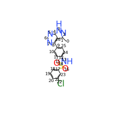 Cc1n[nH]c2ncnc(-c3ccc(NS(=O)(=O)c4cccc(Cl)c4)cc3)c12